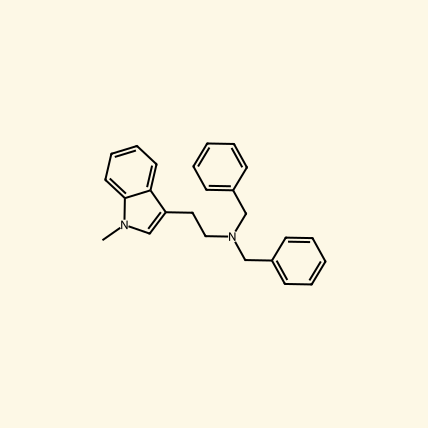 Cn1cc(CCN(Cc2ccccc2)Cc2ccccc2)c2ccccc21